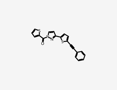 O=C(c1cccs1)n1ccc(-c2ccc(C#Cc3ccccc3)s2)n1